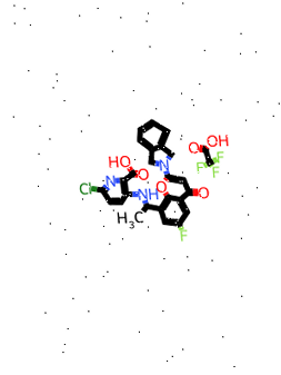 CC(Nc1ccc(Cl)nc1C(=O)O)c1cc(F)cc2c(=O)cc(N3Cc4ccccc4C3)oc12.O=C(O)C(F)(F)F